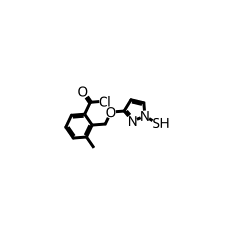 Cc1cccc(C(=O)Cl)c1COc1ccn(S)n1